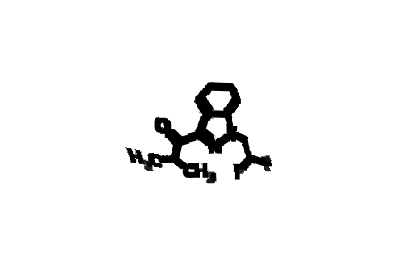 CC(C)C(=O)c1nn(CC(F)F)c2ccccc12